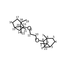 CC1(C)C2CCC1(C)C(OCCOC1CC3CCC1(C)C3(C)C)C2